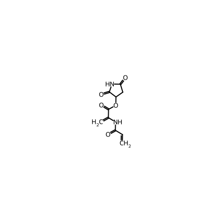 C=CC(=O)NC(=C)C(=O)OC1CC(=O)NC1=O